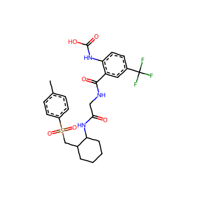 Cc1ccc(S(=O)(=O)CC2CCCCC2NC(=O)CNC(=O)c2cc(C(F)(F)F)ccc2NC(=O)O)cc1